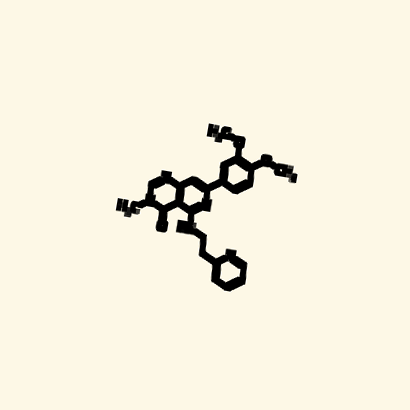 COc1ccc(-c2cc3ncn(C)c(=O)c3c(NCCc3ccccn3)n2)cc1OC